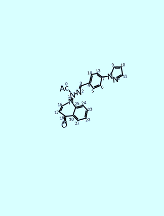 CC(=O)N(N=Cc1ccc(-n2cccn2)cc1)n1ccc(=O)c2ccccc21